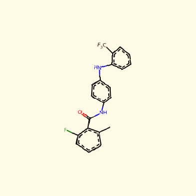 Cc1cccc(F)c1C(=O)Nc1ccc(Nc2ccccc2C(F)(F)F)cc1